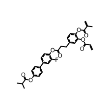 C=CC(=O)Oc1cc(CCC(=O)Oc2ccc(-c3ccc(OC(=O)C(C)C)cc3)cc2F)ccc1OC(=O)C(=C)C